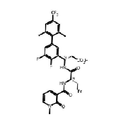 Cc1cc(C(F)(F)F)cc(C)c1-c1cc(F)c(F)c([C@H](CC(=O)O)NC(=O)[C@H](CC(C)C)NC(=O)c2cccn(C)c2=O)c1